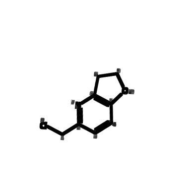 ClCc1ccc2c(n1)CCO2